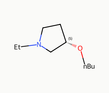 CCCCO[C@H]1CCN(CC)C1